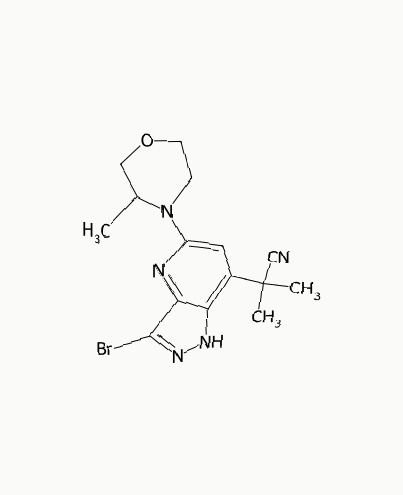 CC1COCCN1c1cc(C(C)(C)C#N)c2[nH]nc(Br)c2n1